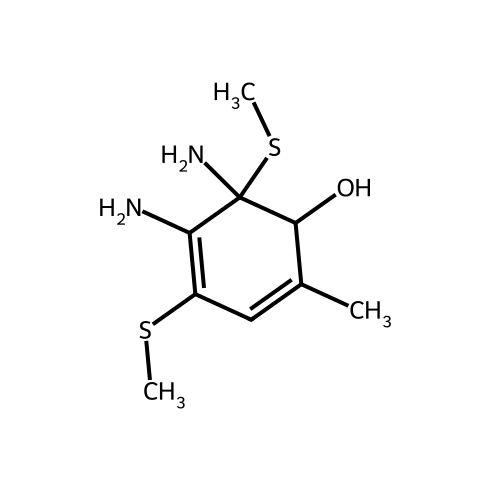 CSC1=C(N)C(N)(SC)C(O)C(C)=C1